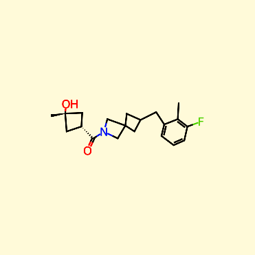 Cc1c(F)cccc1CC1CC2(C1)CN(C(=O)[C@H]1C[C@@](C)(O)C1)C2